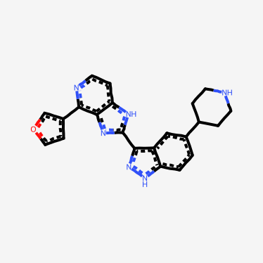 c1cc2[nH]c(-c3n[nH]c4ccc(C5CCNCC5)cc34)nc2c(-c2ccoc2)n1